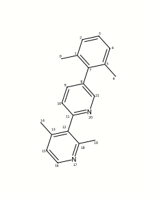 Cc1cccc(C)c1-c1ccc(-c2c(C)ccnc2C)nc1